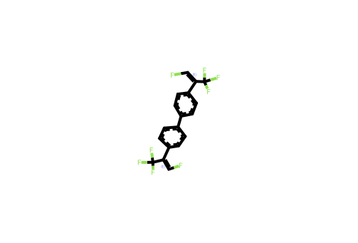 F/C=C(\c1ccc(-c2ccc(/C(=C\F)C(F)(F)F)cc2)cc1)C(F)(F)F